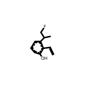 C=Cc1c(O)cccc1[C](C)CF